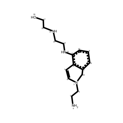 NCCN1C=Cc2c(cccc2NCCNCCO)C1